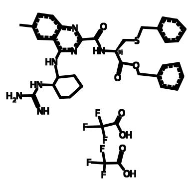 Cc1ccc2nc(C(=O)N[C@@H](CSCc3ccccc3)C(=O)OCc3ccccc3)nc(NC3CCCCC3NC(=N)N)c2c1.O=C(O)C(F)(F)F.O=C(O)C(F)(F)F